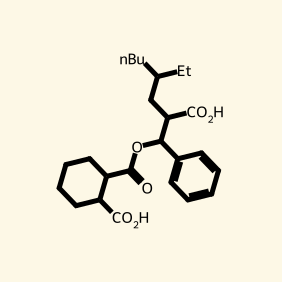 CCCCC(CC)CC(C(=O)O)C(OC(=O)C1CCCCC1C(=O)O)c1ccccc1